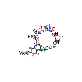 CCC1[C@@H]2CN(C(=O)[C@H](C(C)(C)C)NC(=O)O[C@@H]3CCC[C@H]3CCCCC(F)(F)c3c(nc4cc(OC)ccc4c3F)O2)[C@@H]1C(C)=O